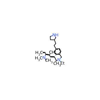 C=C/C(=C(C)/C=C/C(C)N(CC)Cc1ccc(CCC2CCNC2)cc1)N(C)C